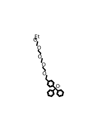 CCOCCOCCOCCOCCOCCc1ccc(C([O])(c2ccccc2)c2ccccc2)cc1